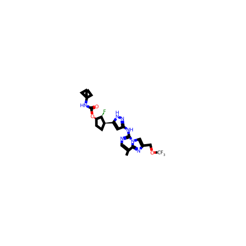 Cc1cnc(Nc2cc([C@H]3CC[C@@H](OC(=O)NC45CC(C4)C5)[C@@H]3F)[nH]n2)n2cc(COC(F)(F)F)nc12